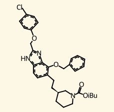 CC(C)COC(=O)N1CCC[C@@H](CCc2ccc3[nH]c(COc4ccc(Cl)cc4)nc3c2OCc2ccccc2)C1